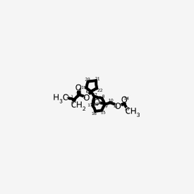 C=C(C)C(=O)OC1(C2CC3(COC(C)=O)CCC2O3)CCCC1